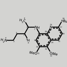 [3H]C(CCN)C(C)Nc1cc(OC)c(OC)c2ccc(CCCC)nc12